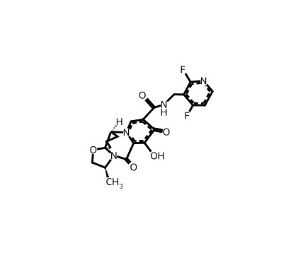 C[C@H]1CO[C@@]23CCC[C@@H]2n2cc(C(=O)NCc4c(F)ccnc4F)c(=O)c(O)c2C(=O)N13